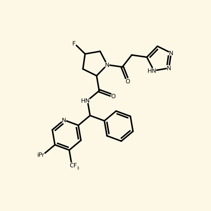 CC(C)c1cnc(C(NC(=O)C2CC(F)CN2C(=O)Cc2cnn[nH]2)c2ccccc2)cc1C(F)(F)F